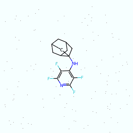 Fc1nc(F)c(F)c(NC23CC4CC(CC2C4)C3)c1F